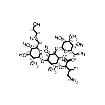 NCC(F)C(O)C(=O)N[C@@H]1C[C@H](N)C(O[C@H]2O[C@H](CNCCO)[C@@H](O)[C@H](O)[C@H]2N)[C@H](O)[C@H]1O[C@H]1O[C@H](CO)[C@@H](O)[C@H](N)[C@H]1O